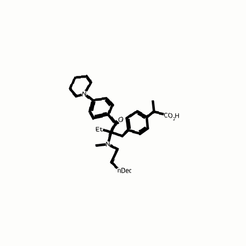 CCCCCCCCCCCCN(C)C(CC)(Cc1ccc(C(C)C(=O)O)cc1)C(=O)c1ccc(N2CCCCC2)cc1